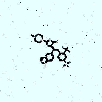 CN1CCN(C2=NC(=O)C(=C(Cc3ccc(S(C)(=O)=O)cc3C(F)(F)F)c3ccc4[nH]ncc4c3)S2)CC1